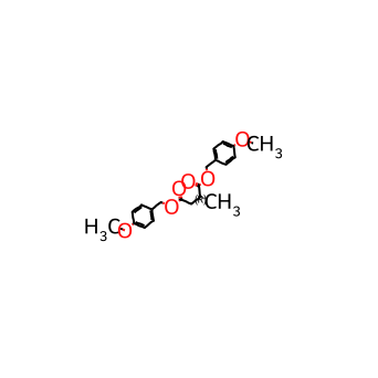 COc1ccc(COC(=O)C[C@@H](C)C(=O)OCc2ccc(OC)cc2)cc1